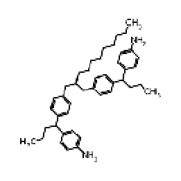 CCCCCCCCCC(Cc1ccc(C(CCC)c2ccc(N)cc2)cc1)Cc1ccc(C(CCC)c2ccc(N)cc2)cc1